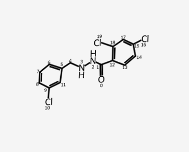 O=C(NNCc1cccc(Cl)c1)c1ccc(Cl)cc1Cl